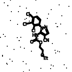 CCOCCOC(=O)Nc1c(C#N)cnn1-c1ccc(Cl)c(Cl)c1Cl